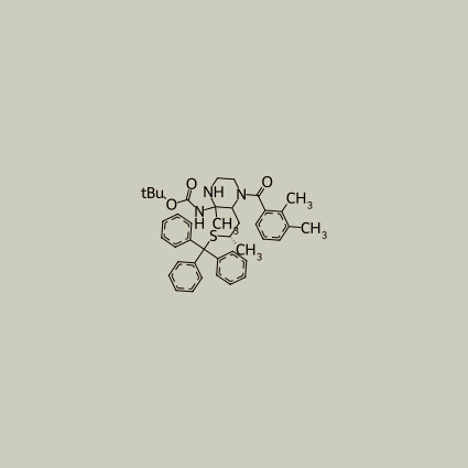 Cc1cccc(C(=O)N2CCNC(C)(NC(=O)OC(C)(C)C)C2C[C@H](C)SC(c2ccccc2)(c2ccccc2)c2ccccc2)c1C